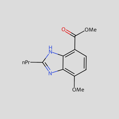 CCCc1nc2c(OC)ccc(C(=O)OC)c2[nH]1